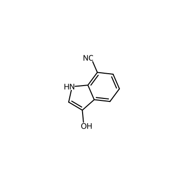 N#Cc1cccc2c(O)c[nH]c12